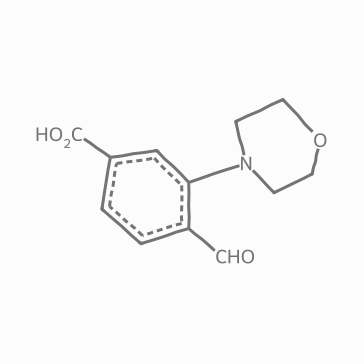 O=Cc1ccc(C(=O)O)cc1N1CCOCC1